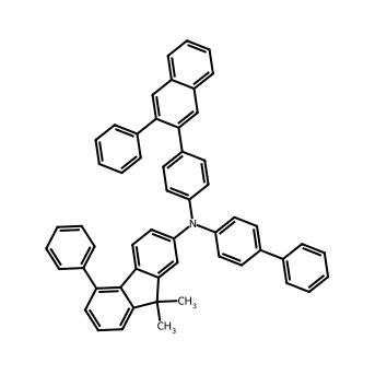 CC1(C)c2cc(N(c3ccc(-c4ccccc4)cc3)c3ccc(-c4cc5ccccc5cc4-c4ccccc4)cc3)ccc2-c2c(-c3ccccc3)cccc21